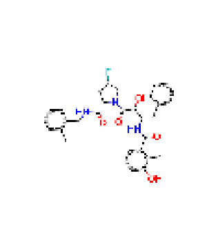 Cc1ccccc1CNC(=O)[C@@H]1C[C@@H](F)CN1C(=O)[C@@H](O)[C@H](Cc1ccccc1)NC(=O)c1cccc(O)c1C